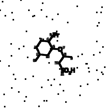 CC1CCC(C(C)C)C(OC(C)CS(=O)(=O)O)C1